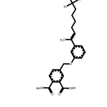 CCC(O)(CC)CCCC/C=C(\C)c1cccc(OCc2ccc(C(=O)OC)c(C(=O)OC)c2)c1